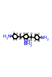 CC(C)(c1ccc(N)cc1)c1ccc(C(C)(C)c2ccc(N)cc2)cc1.N.N